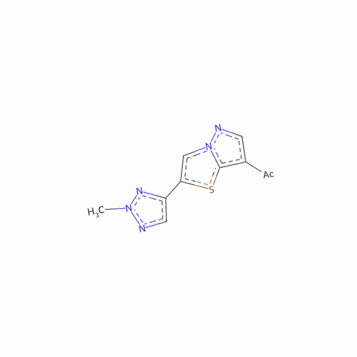 CC(=O)c1cnn2cc(-c3cnn(C)n3)sc12